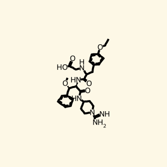 CCOc1ccc(CC(NCC(=O)O)C(=O)N[C@@H](C(=O)NC2CCN(C(=N)N)CC2)[C@H](OC)c2ccccc2)cc1